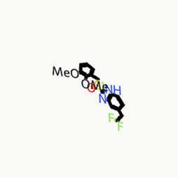 COc1cccc(C[S+]([O-])c2nc3cc(CC(F)F)ccc3[nH]2)c1OC